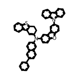 C1=C(N(c2ccc3cc(-c4ccccc4)ccc3c2)c2ccc3oc4ccc(-n5c6ccccc6c6ccccc65)cc4c3c2)CCc2sc3ccccc3c21